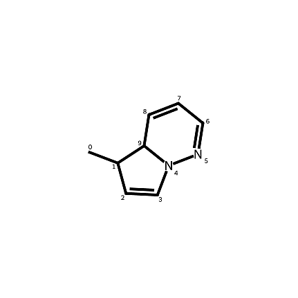 CC1C=CN2N=CC=CC12